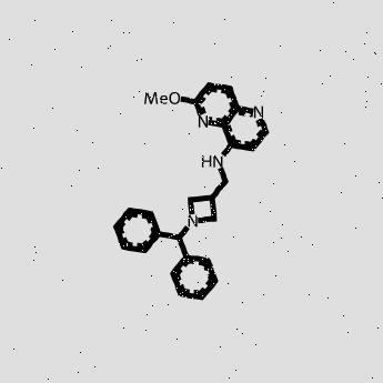 COc1ccc2nccc(NCC3CN(C(c4ccccc4)c4ccccc4)C3)c2n1